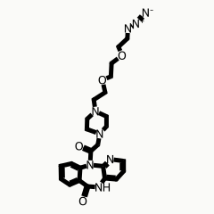 [N-]=[N+]=NCCOCCOCCN1CCN(CC(=O)N2c3ccccc3C(=O)Nc3cccnc32)CC1